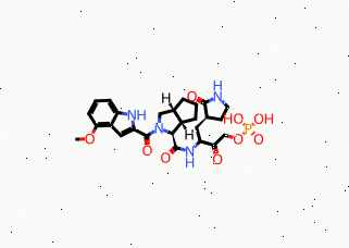 COc1cccc2[nH]c(C(=O)N3C[C@@H]4CCC[C@@H]4[C@H]3C(=O)NC(C[C@@H]3CCNC3=O)C(=O)COP(=O)(O)O)cc12